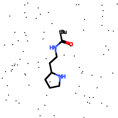 CC(C)(C)C(=O)NCCC1CCCN1